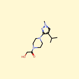 CC(C)c1cn(C)nc1N1CCN(C(=O)CO)CC1